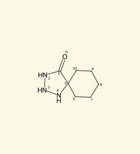 O=C1NNNC12CCCCC2